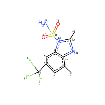 Cc1cc(C(F)(F)F)cc2c1nc(C)n2S(N)(=O)=O